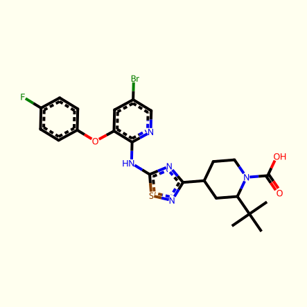 CC(C)(C)C1CC(c2nsc(Nc3ncc(Br)cc3Oc3ccc(F)cc3)n2)CCN1C(=O)O